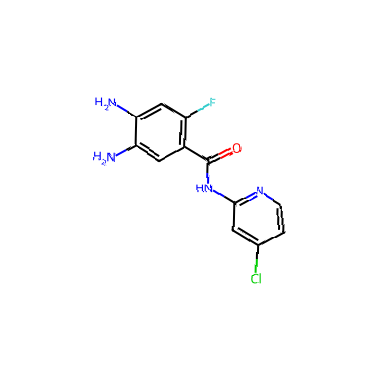 Nc1cc(F)c(C(=O)Nc2cc(Cl)ccn2)cc1N